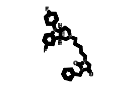 O=C1CN(CCCCCN2CC[C@@H]3[C@@H](C2)c2cc(F)ccc2N3c2ccc(F)cc2)C(=O)N1Cc1ccccc1